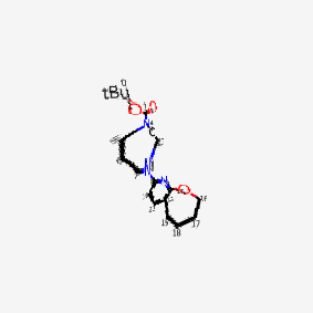 CC(C)(C)OC(=O)N1CCCN(c2ccc3c(n2)OCCCC3)CC1